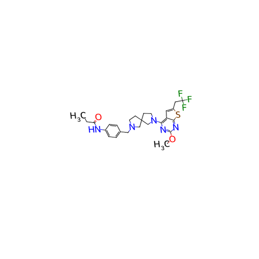 CCC(=O)Nc1ccc(CN2CCC3(CCN(c4nc(OC)nc5sc(CC(F)(F)F)cc45)C3)C2)cc1